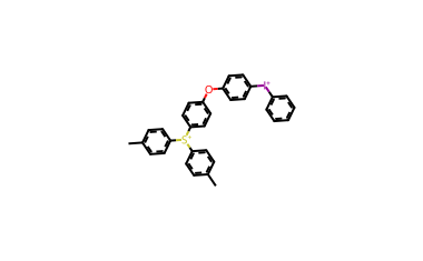 Cc1ccc([S+](c2ccc(C)cc2)c2ccc(Oc3ccc([I+]c4ccccc4)cc3)cc2)cc1